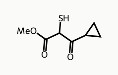 COC(=O)C(S)C(=O)C1CC1